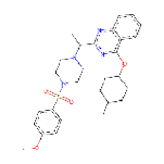 COc1ccc(S(=O)(=O)N2CCN(C(C)c3nc(OC4CCC(C)CC4)c4ccccc4n3)CC2)cc1